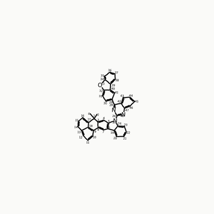 CC1(C)c2cc3c(cc2-c2cccc4cccc1c24)c1ccccc1n3-c1nc(-c2ccc3oc4ccccc4c3c2)c2ccccc2n1